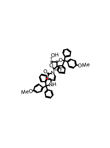 COc1ccc(C(Nc2ccn([C@@H]3O[C@H](CO)[C@@H](OC(c4ccccc4)(c4ccccc4)c4ccc(OC)cc4)[C@H]3F)c(=O)n2)(c2ccccc2)c2ccccc2)cc1